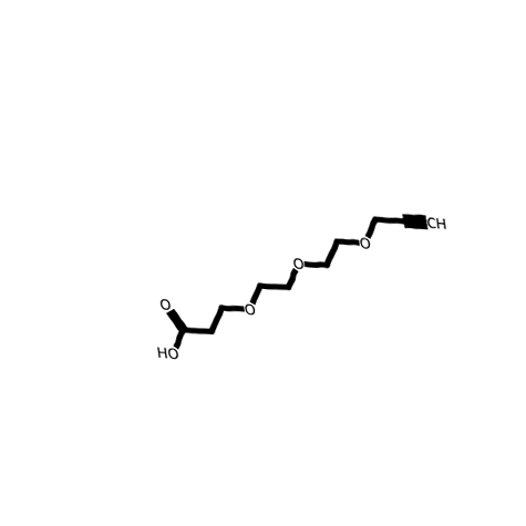 C#CCOCCOCCOCCC(=O)O